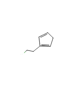 BrCCC1=[C]CC=C1